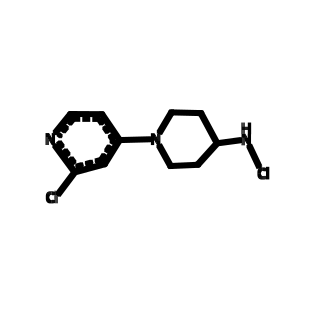 ClNC1CCN(c2ccnc(Cl)c2)CC1